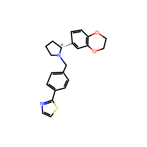 c1csc(-c2ccc(CN3CCC[C@@H]3c3ccc4c(c3)OCCO4)cc2)n1